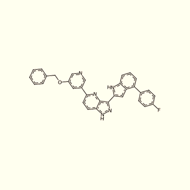 Fc1ccc(-c2cccc3[nH]c(-c4n[nH]c5ccc(-c6cncc(OCc7ccccc7)c6)nc45)cc23)cc1